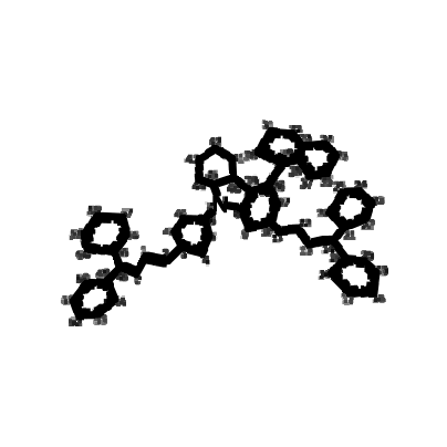 C(/C=C/c1ccc(N2c3cc(/C=C/C=C(c4ccccc4)c4ccccc4)cc(-c4cccc5ccccc45)c3C3CCCCC32)cc1)=C(c1ccccc1)c1ccccc1